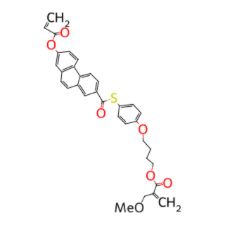 C=CC(=O)Oc1ccc2c(ccc3cc(C(=O)Sc4ccc(OCCCCOC(=O)C(=C)COC)cc4)ccc32)c1